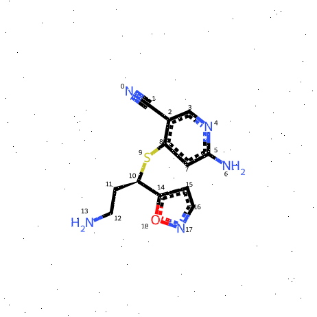 N#Cc1cnc(N)cc1S[C@H](CCN)c1ccno1